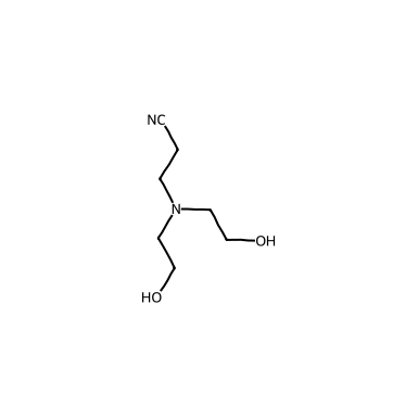 N#CCCN(CCO)CCO